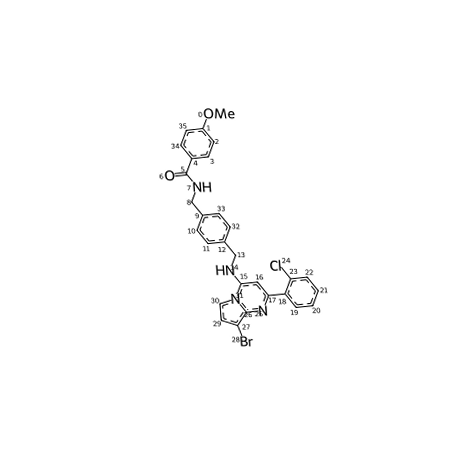 COc1ccc(C(=O)NCc2ccc(CNc3cc(-c4ccccc4Cl)nc4c(Br)ccn34)cc2)cc1